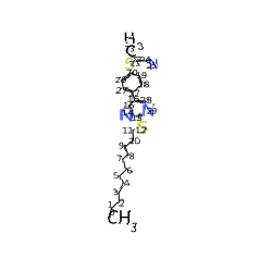 CCCCCCCCCCCCSc1ncc(-c2ccc(S[C@H](C)C#N)cc2)cn1